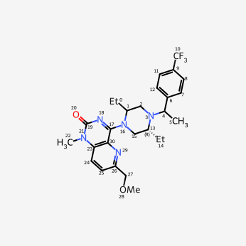 CCC1CN(C(C)c2ccc(C(F)(F)F)cc2)[C@H](CC)CN1c1nc(=O)n(C)c2ccc(COC)nc12